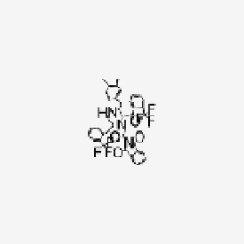 Cc1ccc(CC2NCC(C(=O)c3ccccc3C(F)(F)F)N(CCN3C(=O)c4ccccc4C3=O)C2C(=O)c2ccccc2C(F)(F)F)cc1C